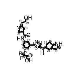 O=C(Nc1cccc(-c2nnc(Nc3ccc4[nH]ncc4c3)s2)c1)c1cnn(CCO)c1.O=C(O)C(F)(F)F